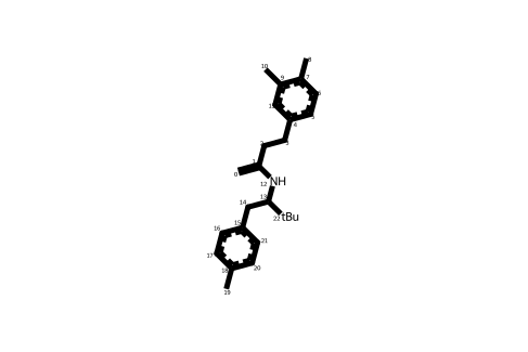 C=C(CCc1ccc(C)c(C)c1)NC(Cc1ccc(C)cc1)C(C)(C)C